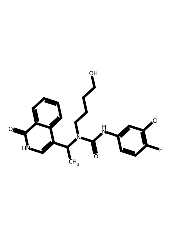 CC(c1c[nH]c(=O)c2ccccc12)N(CCCCO)C(=O)Nc1ccc(F)c(Cl)c1